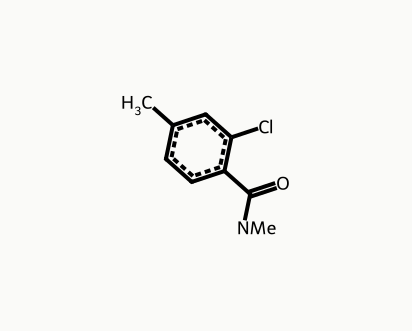 CNC(=O)c1ccc(C)cc1Cl